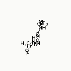 Cc1cc(Nc2ncnc3ccc(/C=N/OCCCCNCCS(C)(=O)=O)cc23)ccc1OCc1cccc(F)c1